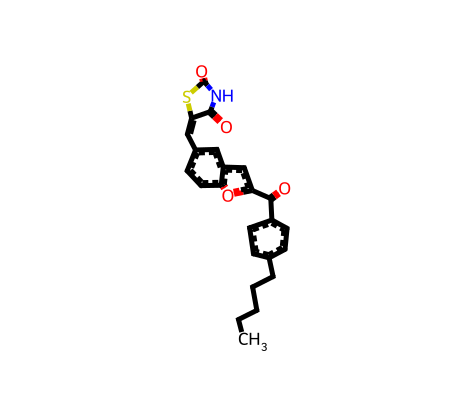 CCCCCc1ccc(C(=O)c2cc3cc(C=C4SC(=O)NC4=O)ccc3o2)cc1